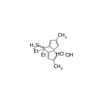 C[CH2][Ti](=[SiH2])([CH2]C)([C]1=CC(C)=CC1)[C]1=CC(C)=CC1.Cl.Cl